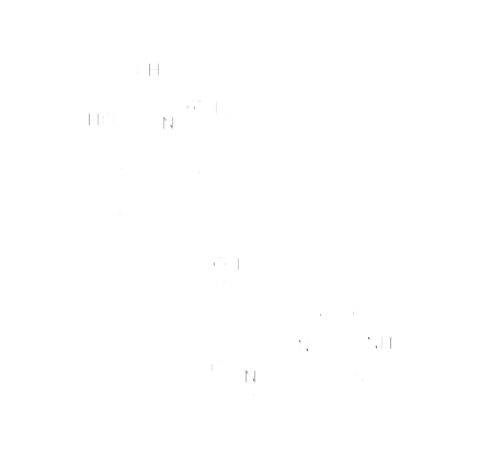 CC(O)N(C)c1ccc(-c2cccc(-c3cc(N4CCNCC4)no3)c2O)cc1